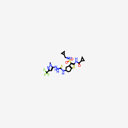 Cn1nc(C(F)(F)F)cc1NNC(=S)NC1CCc2sc(NC(=O)C3CC3)c(S(=O)(=O)NCC3CC3)c2C1